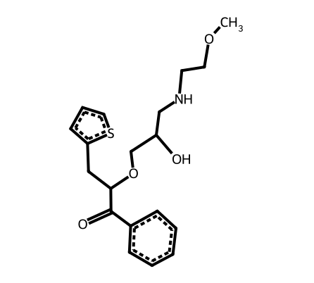 COCCNCC(O)COC(Cc1cccs1)C(=O)c1ccccc1